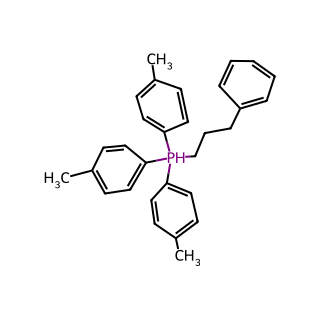 Cc1ccc([PH](CCCc2ccccc2)(c2ccc(C)cc2)c2ccc(C)cc2)cc1